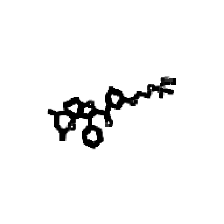 C=C1C=C(C)c2ccc3oc(C(=O)c4cccc(OCCO[Si](C)(C)C(C)(C)C)c4)c(-c4ccccc4)c3c2O1